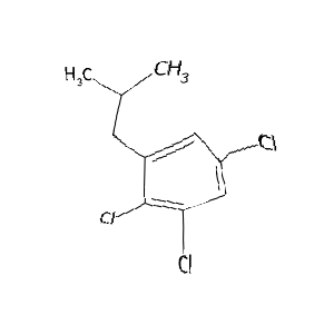 CC(C)Cc1cc(Cl)cc(Cl)c1Cl